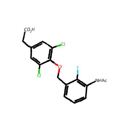 CC(=O)Nc1cccc(COc2c(Cl)cc(CC(=O)O)cc2Cl)c1F